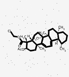 CC(=O)O[C@@H]1CC[C@]2(C)C3=CC=C4[C@@H]5[C@@H](C)CCC[C@]5(C)CC[C@]4(C)[C@]3(C)CC[C@H]2[C@@]1(C)C(=O)OCCl